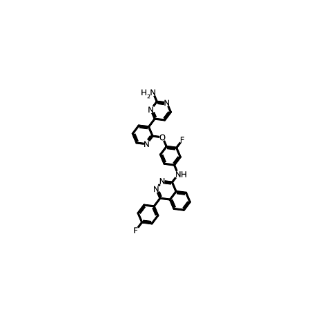 Nc1nccc(-c2cccnc2Oc2ccc(Nc3nnc(-c4ccc(F)cc4)c4ccccc34)cc2F)n1